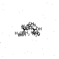 CC.CC.NC(O)=S.NC(O)=S.O.O.O.[NaH]